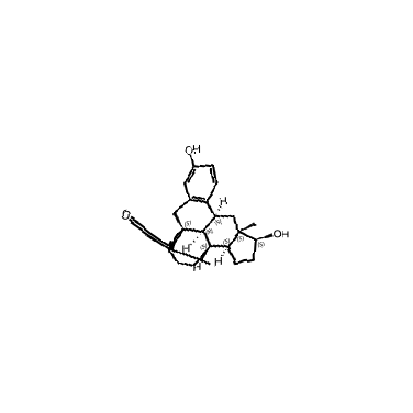 C[C@]12C[C@@H]3c4ccc(O)cc4C[C@]45CCC(=O)C=C4CC[C@H]([C@H]35)[C@@H]1CC[C@@H]2O